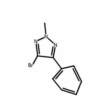 Cn1nc(Br)c(-c2ccccc2)n1